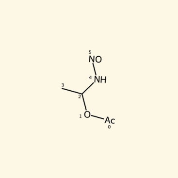 CC(=O)OC(C)NN=O